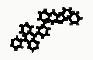 c1ccc(-c2c3ccccc3c(-c3cccc(-c4cccc5cc6c(cc45)sc4c5ccccc5ccc64)c3)c3ccccc23)cc1